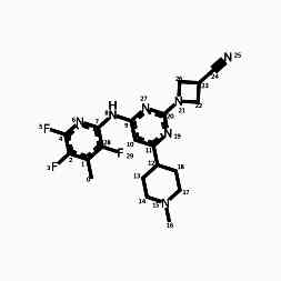 Cc1c(F)c(F)nc(Nc2cc(C3CCN(C)CC3)nc(N3CC(C#N)C3)n2)c1F